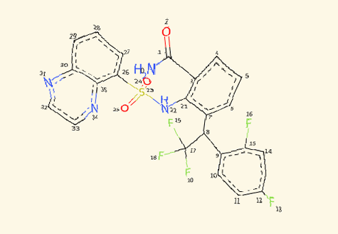 NC(=O)c1cccc(C(c2ccc(F)cc2F)C(F)(F)F)c1NS(=O)(=O)c1cccc2nccnc12